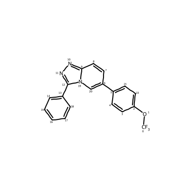 FC(F)(F)Oc1ccc(-c2ccc3nnc(-c4ccccc4)n3c2)cc1